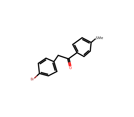 CSc1ccc(C(=O)Cc2ccc(Br)cc2)cc1